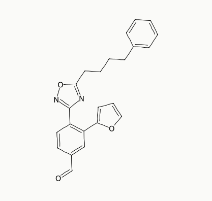 O=Cc1ccc(-c2noc(CCCCc3ccccc3)n2)c(-c2ccco2)c1